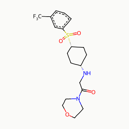 O=C(CN[C@H]1CC[C@@H](S(=O)(=O)c2cccc(C(F)(F)F)c2)CC1)N1CCOCC1